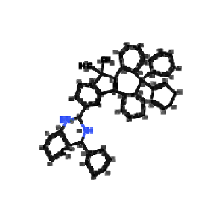 CC1(C)C2=C(c3cc(C4Nc5ccccc5C(c5ccccc5)N4)ccc31)c1ccccc1C(C1=CCCC=C1)(c1ccccc1)c1ccccc12